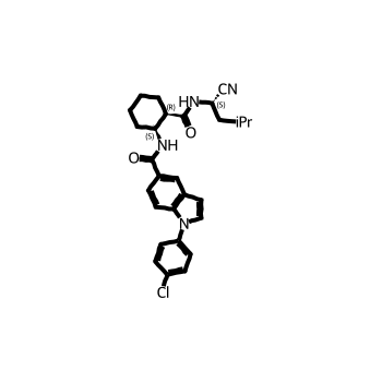 CC(C)C[C@@H](C#N)NC(=O)[C@@H]1CCCC[C@@H]1NC(=O)c1ccc2c(ccn2-c2ccc(Cl)cc2)c1